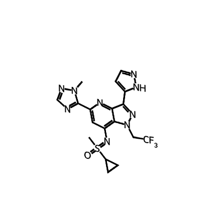 Cn1ncnc1-c1cc(N=S(C)(=O)C2CC2)c2c(n1)c(-c1ccn[nH]1)nn2CC(F)(F)F